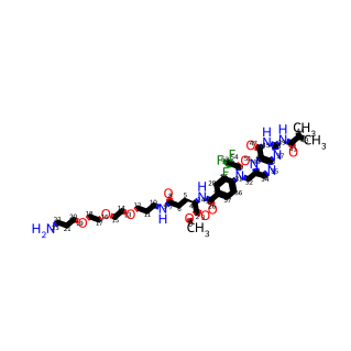 COC(=O)[C@@H](CCC(=O)NCCCOCCOCCOCCCN)NC(=O)c1ccc(N(Cc2cnc3nc(NC(=O)C(C)C)[nH]c(=O)c3n2)C(=O)C(F)(F)F)cc1